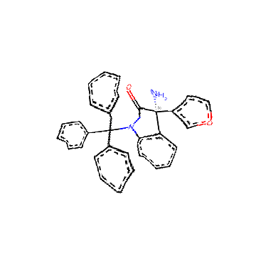 N[C@@]1(c2ccoc2)C(=O)N(C(c2ccccc2)(c2ccccc2)c2ccccc2)c2ccccc21